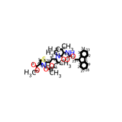 COC(=O)c1csc(C(CC(C(C)C)N(C)C(=O)C(NC(=O)OCC2c3ccccc3-c3ccccc32)C(C)C)OC(C)=O)n1